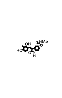 CNS(=O)(=O)c1ccc2c(c1)C(=Cc1ccc(O)c(C)c1O)C(=O)N2